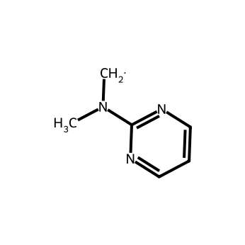 [CH2]N(C)c1ncccn1